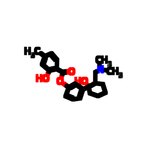 Cc1ccc(C(=O)Oc2cccc(C3(O)CCCCC3CN(C)C)c2)c(O)c1